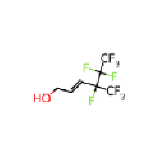 OCC=CC(F)(C(F)(F)F)C(F)(F)C(F)(F)F